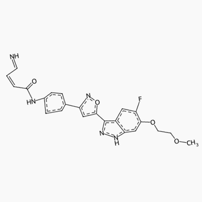 COCCOc1cc2[nH]nc(-c3cc(-c4ccc(NC(=O)/C=C\C=N)cc4)no3)c2cc1F